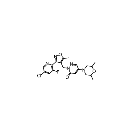 Cc1onc(-c2ncc(Cl)cc2F)c1Cn1ncc(N2CC(C)OC(C)C2)cc1=O